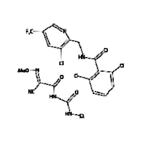 CCNC(=O)NC(=O)/C(C#N)=N/OC.O=C(NCc1ncc(C(F)(F)F)cc1Cl)c1c(Cl)cccc1Cl